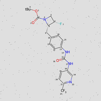 CC(C)(C)OC(=O)N1C[C@H](F)[C@@H]1Cc1ccc(NC(=O)Nc2ccc(C(F)(F)F)nc2)cc1